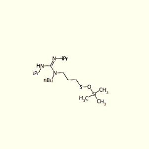 CCCCN(CCCSO[Si](C)(C)C)/C(=N\C(C)C)NC(C)C